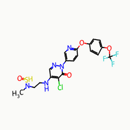 CN(CCNc1cnn(-c2ccc(Oc3ccc(OC(F)(F)F)cc3)nc2)c(=O)c1Cl)[SH]=O